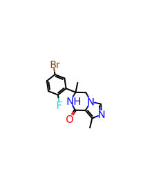 Cc1ncn2c1C(=O)NC(C)(c1cc(Br)ccc1F)C2